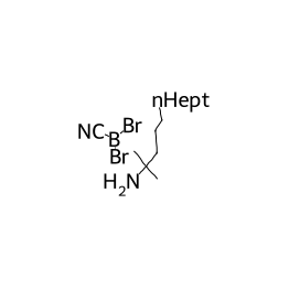 CCCCCCCCCCC(C)(C)N.N#CB(Br)Br